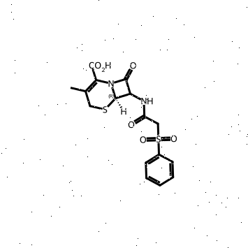 CC1=C(C(=O)O)N2C(=O)C(NC(=O)CS(=O)(=O)c3ccccc3)[C@H]2SC1